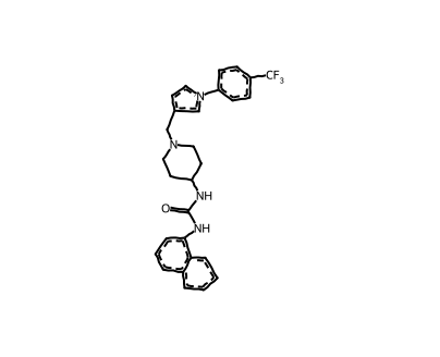 O=C(Nc1cccc2ccccc12)NC1CCN(Cc2ccn(-c3ccc(C(F)(F)F)cc3)c2)CC1